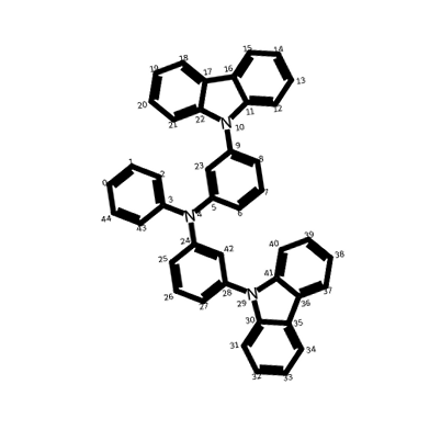 c1ccc(N(c2cccc(-n3c4ccccc4c4ccccc43)c2)c2cccc(-n3c4ccccc4c4ccccc43)c2)cc1